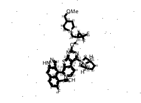 C#Cc1c(F)ccc2cc3[nH]ncc3c(-c3nccc4c3sc3nc(OC[C@]5(CN6CCC(COC)CC6)CC5(F)F)nc(N5C[C@H]6CC[C@@H](C5)N6)c34)c12